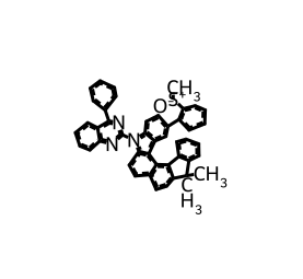 C[S+]([O-])c1ccccc1-c1ccc2c(c1)c1c3c4c(ccc3ccc1n2-c1nc(-c2ccccc2)c2ccccc2n1)C(C)(C)c1ccccc1-4